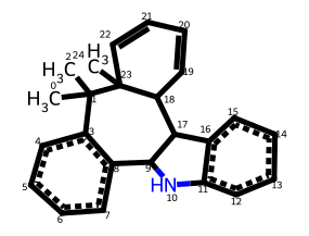 CC1(C)c2ccccc2C2Nc3ccccc3C2C2C=CC=CC21C